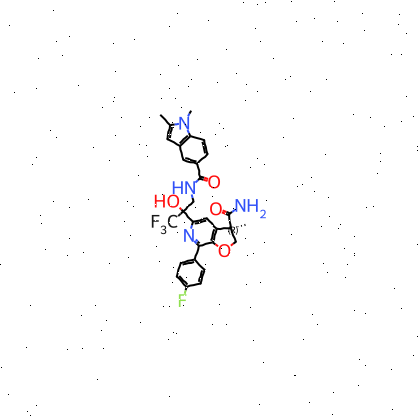 Cc1cc2cc(C(=O)NCC(O)(c3cc4c(c(-c5ccc(F)cc5)n3)OC[C@]4(C)C(N)=O)C(F)(F)F)ccc2n1C